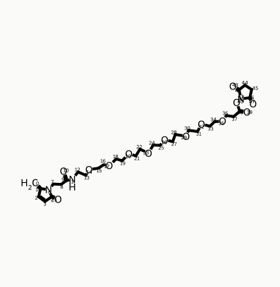 C=C1C=CC(=O)N1CCC(=O)NCCOCCOCCOCCOCCOCCOCCOCCOCCC(=O)ON1C(=O)CCC1=O